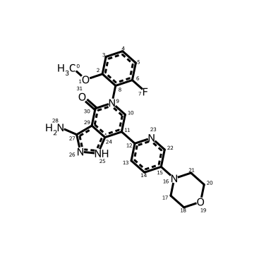 COc1cccc(F)c1-n1cc(-c2ccc(N3CCOCC3)cn2)c2[nH]nc(N)c2c1=O